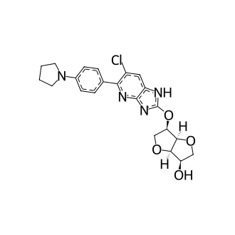 O[C@@H]1CO[C@H]2[C@@H]1OC[C@H]2Oc1nc2nc(-c3ccc(N4CCCC4)cc3)c(Cl)cc2[nH]1